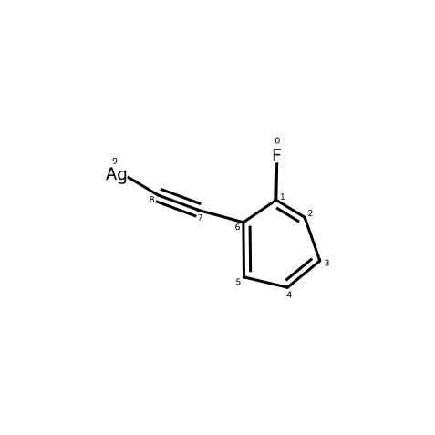 Fc1ccccc1C#[C][Ag]